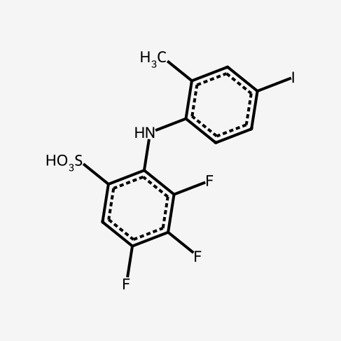 Cc1cc(I)ccc1Nc1c(S(=O)(=O)O)cc(F)c(F)c1F